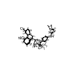 CC(N[C@@H](c1ccc(Nc2nc[nH]n2)cc1)C(C)(C)C#N)C(Cc1ccc(Cl)cc1)c1cccc(C#N)c1